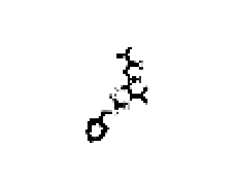 CC(C)C(=O)CNC(=O)[C@@H](NC(=O)OCc1ccccc1)C(C)C